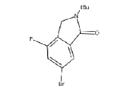 CC(C)(C)N1Cc2c(F)cc(Br)cc2C1=O